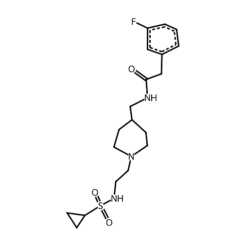 O=C(Cc1cccc(F)c1)NCC1CCN(CCNS(=O)(=O)C2CC2)CC1